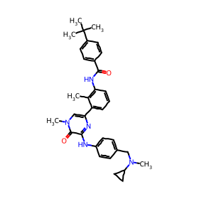 Cc1c(NC(=O)c2ccc(C(C)(C)C)cc2)cccc1-c1cn(C)c(=O)c(Nc2ccc(CN(C)C3CC3)cc2)n1